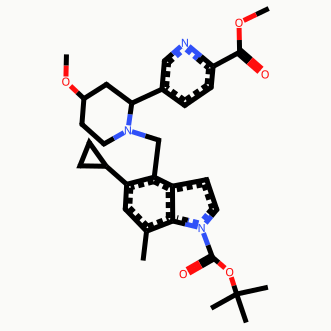 COC(=O)c1ccc(C2CC(OC)CCN2Cc2c(C3CC3)cc(C)c3c2ccn3C(=O)OC(C)(C)C)cn1